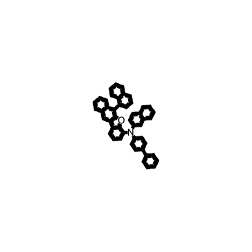 c1ccc(-c2ccc(N(c3ccc4ccccc4c3)c3cccc4c3oc3c(-c5cccc6ccccc56)c5ccccc5cc34)cc2)cc1